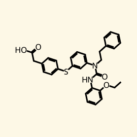 CCOc1ccccc1NC(=O)N(CCc1ccccc1)c1cccc(Sc2ccc(CC(=O)O)cc2)c1